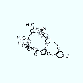 CC(=O)N[C@@]1(C#N)CCC[C@H](C)[C@@H](C)S(=O)(=O)NC(=O)c2ccc3c(c2)N(CCCCc2cc(Cl)ccc2CO3)C[C@@H]2CC[C@H]21